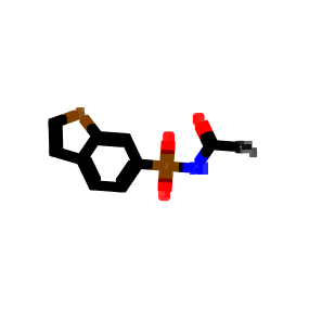 CC(=O)NS(=O)(=O)c1ccc2ccsc2c1